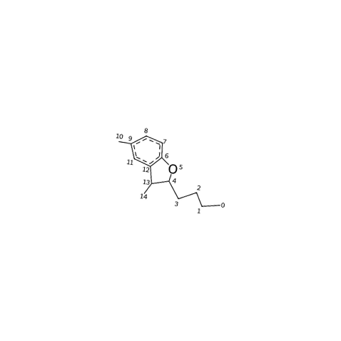 CCCCC1Oc2ccc(C)cc2C1C